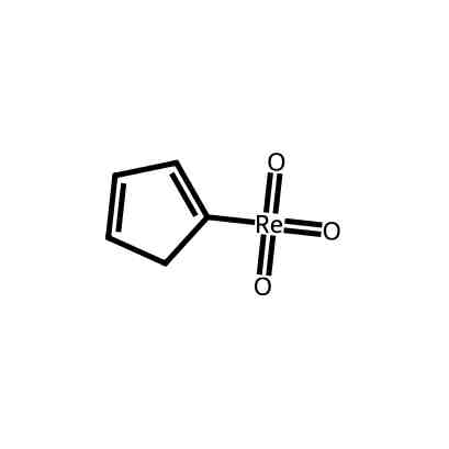 [O]=[Re](=[O])(=[O])[C]1=CC=CC1